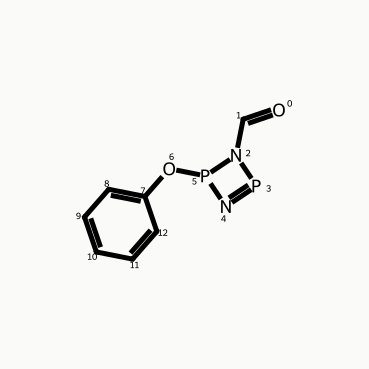 O=Cn1pnp1Oc1ccccc1